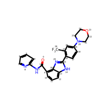 O=C(Nc1ccccn1)c1cccc2[nH]c(-c3ccc(N4CCOCC4)cc3C(F)(F)F)nc12